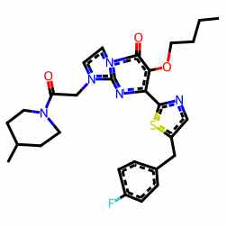 CCCCOc1c(-c2ncc(Cc3ccc(F)cc3)s2)nc2n(CC(=O)N3CCC(C)CC3)ccn2c1=O